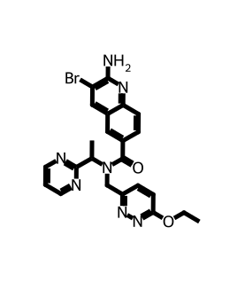 CCOc1ccc(CN(C(=O)c2ccc3nc(N)c(Br)cc3c2)C(C)c2ncccn2)nn1